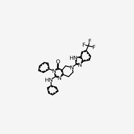 O=c1c2c(nc(Nc3ccccc3)n1-c1ccccc1)CCN(c1nc3ccc(C(F)(F)F)cc3[nH]1)C2